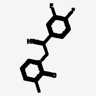 Cc1cccn(CC(=N)c2ccc(F)c(F)c2)c1=O